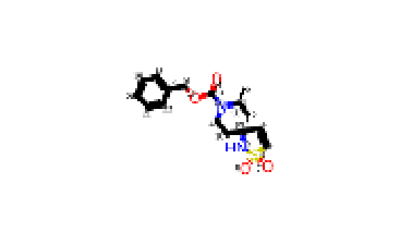 C[C@H]1C[C@@]2(C=CS(=O)(=O)N2)CCN1C(=O)OCc1ccccc1